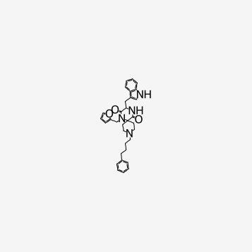 O=C1C(Cc2c[nH]c3ccccc23)NC(=O)C2(CCN(CCCCc3ccccc3)CC2)N1Cc1ccco1